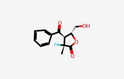 C[C@]1(F)C(=O)O[C@@H](CO)[C@@H]1C(=O)c1ccccc1